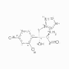 C[C@@H](C=O)[C@](O)(Cn1cncn1)c1ccc(Cl)cc1Cl